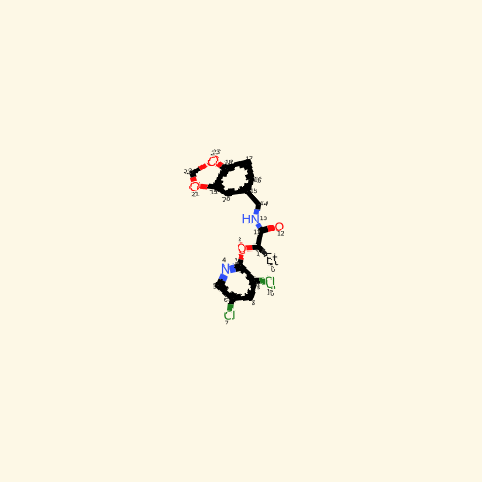 CCC(Oc1ncc(Cl)cc1Cl)C(=O)NCc1ccc2c(c1)OCO2